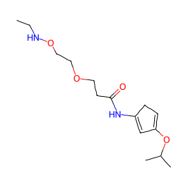 CCNOCCOCCC(=O)NC1=CC(OC(C)C)=CC1